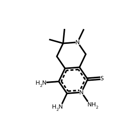 CN1Cc2c(c(N)c(N)n(N)c2=S)CC1(C)C